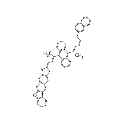 C/C(=C\C=C/Cc1ccc2ccccc2c1)c1c2ccccc2c(/C(C)=C/C=C2\Cc3cc4cc5c(cc4cc3S2)oc2ccccc25)c2ccccc12